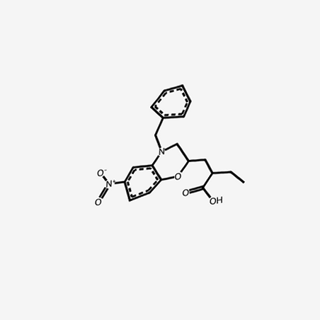 CCC(CC1CN(Cc2ccccc2)c2cc([N+](=O)[O-])ccc2O1)C(=O)O